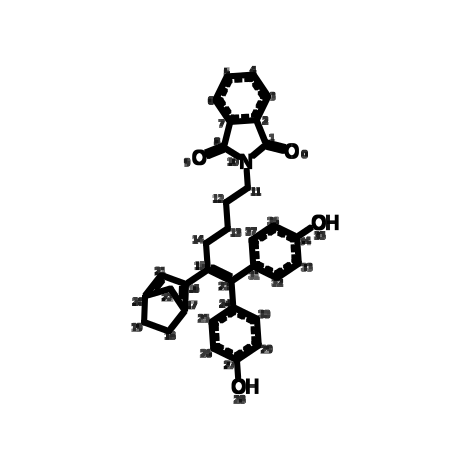 O=C1c2ccccc2C(=O)N1CCCCC(C1=C2CCC(=C1)C2)=C(c1ccc(O)cc1)c1ccc(O)cc1